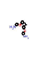 CC(Cc1cccc(Oc2cccc(N)c2)c1)c1cccc(Oc2cccc(N)c2)c1